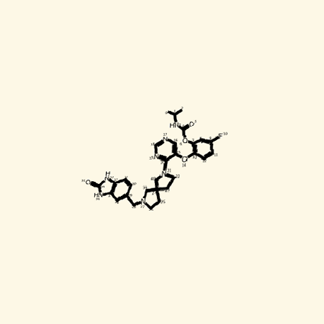 CC(C)NC(=O)Oc1cc(F)ccc1Oc1cncnc1N1CCC2(CCN(Cc3ccc4[nH]c(=O)[nH]c4c3)C2)C1